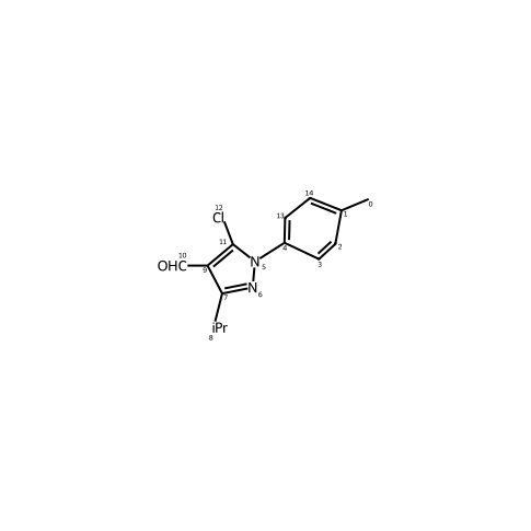 Cc1ccc(-n2nc(C(C)C)c(C=O)c2Cl)cc1